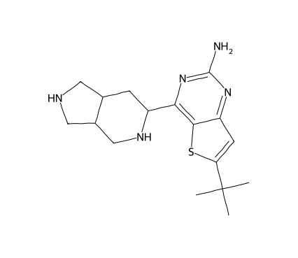 CC(C)(C)c1cc2nc(N)nc(C3CC4CNCC4CN3)c2s1